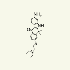 CCN(CC)CCSc1ccc2c(c1)C(C)(C)c1[nH]c3cc(N)ccc3c1C2=O